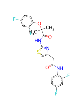 CC(C)(Oc1ccc(F)cc1F)C(=O)Nc1nc(CC(=O)Nc2ccc(F)cc2F)cs1